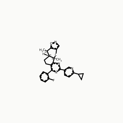 C[C@H]1c2oncc2C[C@@]2(C)c3nc(-c4ccc(C5CC5)nc4)nc(-c4ccccc4F)c3CC[C@H]12